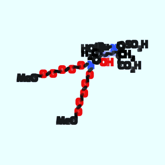 C=C(/C=C(/C=C/C=C1\N(CCCS(=O)(=O)O)c2ccc(S(=O)(=O)O)cc2C1(C)CCCC(=O)O)c1ccc(N(CCOCCOCCOCCOCCOCCOC)CCOCCOCCOCCOCCOCCOC)cc1O)C(C)(C)C